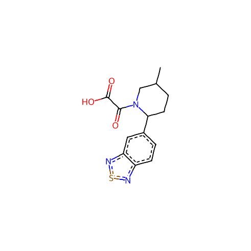 CC1CCC(c2ccc3nsnc3c2)N(C(=O)C(=O)O)C1